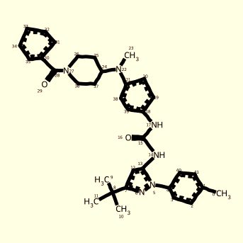 Cc1ccc(-n2nc(C(C)(C)C)cc2NC(=O)Nc2ccc(N(C)C3CCN(C(=O)c4ccccc4)CC3)cc2)cc1